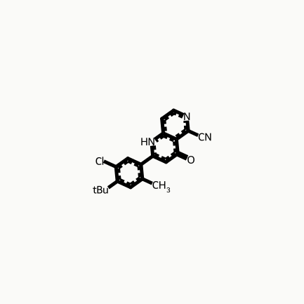 Cc1cc(C(C)(C)C)c(Cl)cc1-c1cc(=O)c2c(C#N)nccc2[nH]1